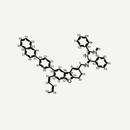 C=N/C(=N\C(=N/CC1=Cc2c(oc3cc(/C=C\C=C/C)c(-c4ccc(-c5ccc6ccccc6c5)cc4)cc23)CC1)c1ccccc1)c1ccccc1